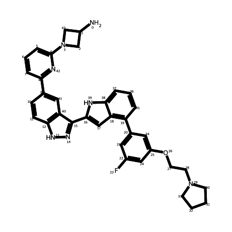 NC1CN(c2cccc(-c3ccc4[nH]nc(-c5cc6c(-c7cc(F)cc(OCCN8CCCC8)c7)cccc6[nH]5)c4c3)n2)C1